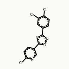 Clc1ccc(-c2nc(-c3ccc(Cl)c(Cl)c3)no2)cn1